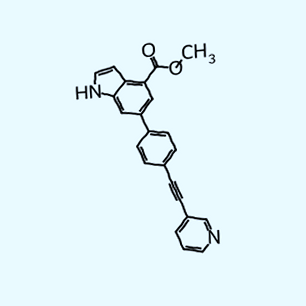 COC(=O)c1cc(-c2ccc(C#Cc3cccnc3)cc2)cc2[nH]ccc12